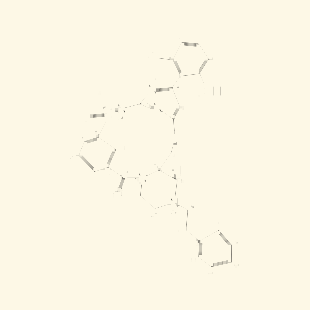 Cc1cccc(C)c1-c1cc2nc(n1)NS(=O)(=O)c1cccc(c1)C(=O)N1CCN(CCc3ccccc3)C[C@@H]1CO2